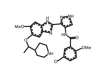 COc1cc2[nH]c(-c3n[nH]cc3NC(=O)c3cc(Cl)ccc3OC)nc2cc1OC(C)C1CCNCC1